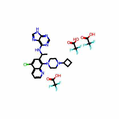 CC(Nc1ncnc2[nH]cnc12)c1cc(Cl)c2cccnc2c1N1CCN(C2CCC2)CC1.O=C(O)C(F)(F)F.O=C(O)C(F)(F)F.O=C(O)C(F)(F)F